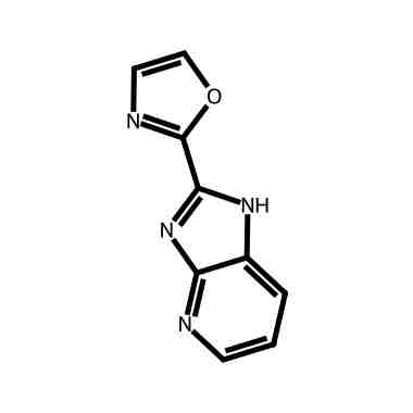 c1cnc2nc(-c3ncco3)[nH]c2c1